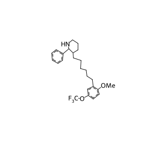 COc1ccc(OC(F)(F)F)cc1CCCCCCC1CCCNC1c1ccccc1